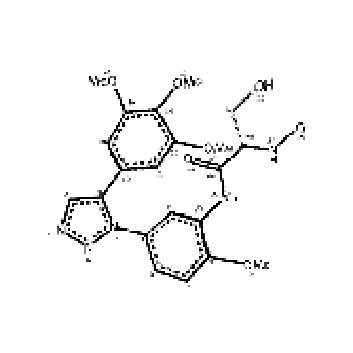 COc1ccc(-n2nncc2-c2cc(OC)c(OC)c(OC)c2)cc1NC(=O)[C@H](CO)NCl